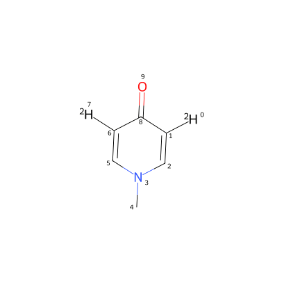 [2H]c1cn(C)cc([2H])c1=O